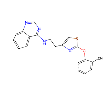 N#Cc1ccccc1Oc1nc(CCNc2ncnc3ccccc23)cs1